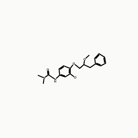 COC(COc1ccc(NC(=O)N(C)C)cc1Cl)Cc1ccccc1